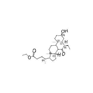 CCOC(=O)CC[C@@H](C)C1CC[C@H]2C3C(=O)[C@H](CC)[C@@H]4C[C@H](O)CC[C@]4(C)C3CC[C@]12C